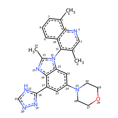 Cc1cnc2c(C)cccc2c1-n1c(C)nc2c(-c3nnc[nH]3)cc(N3CCOCC3)cc21